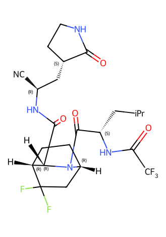 CC(C)C[C@H](NC(=O)C(F)(F)F)C(=O)N1[C@@H]2CC[C@H]([C@@H]1C(=O)N[C@@H](C#N)C[C@@H]1CCNC1=O)C(F)(F)C2